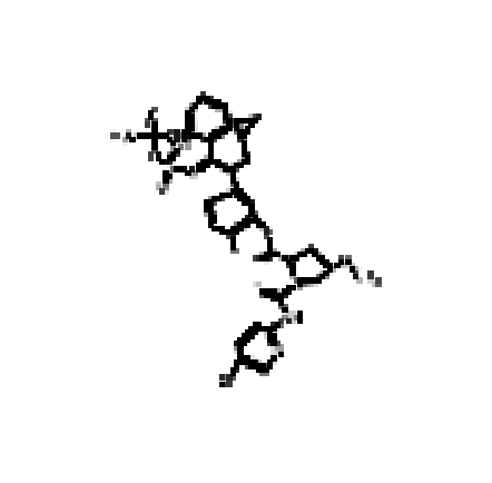 CO[C@@H]1C[C@H](C(=O)Nc2cc(C(CC3CC3)C(=NS(=O)(=O)OC(C)(C)C)c3ccccc3)ccc2F)N(C(=O)Nc2ccc(Cl)cn2)C1